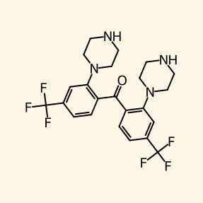 O=C(c1ccc(C(F)(F)F)cc1N1CCNCC1)c1ccc(C(F)(F)F)cc1N1CCNCC1